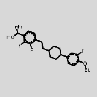 CCCC(O)c1ccc(CCC2CCC(c3ccc(OCC)c(F)c3)CC2)c(F)c1F